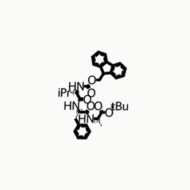 CC(C)[C@H](NC(=O)OCC1c2ccccc2-c2ccccc21)C(=O)N[C@@H](Cc1ccccc1)C(=O)N[C@@H](C)C(=O)OC(C)(C)C